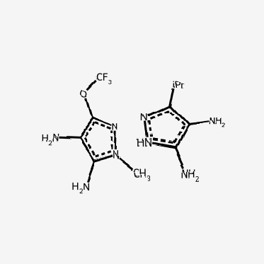 CC(C)c1n[nH]c(N)c1N.Cn1nc(OC(F)(F)F)c(N)c1N